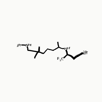 CC(C)CC(NC(C)CCCC(C)(C)CNC(C)C)C(F)(F)F